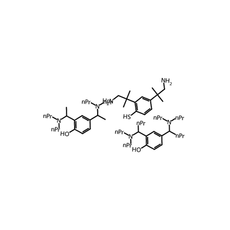 CC(C)(CN)c1ccc(S)c(C(C)(C)CN)c1.CCCC(c1ccc(O)c(C(CCC)N(CCC)CCC)c1)N(CCC)CCC.CCCN(CCC)C(C)c1ccc(O)c(C(C)N(CCC)CCC)c1